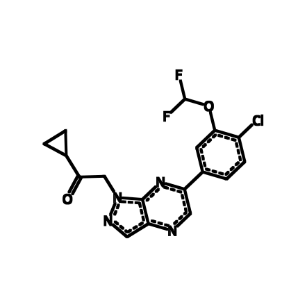 O=C(Cn1ncc2ncc(-c3ccc(Cl)c(OC(F)F)c3)nc21)C1CC1